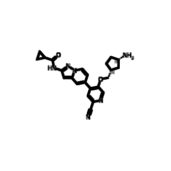 N#Cc1cc(-c2ccn3nc(NC(=O)C4CC4)cc3c2)c(OC[C@@H]2CC[C@H](N)C2)cn1